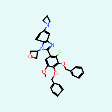 COc1cc(-c2nc3cc(N4CCC4)ccc3n2C2COC2)c(F)c(OCc2ccccc2)c1OCc1ccccc1